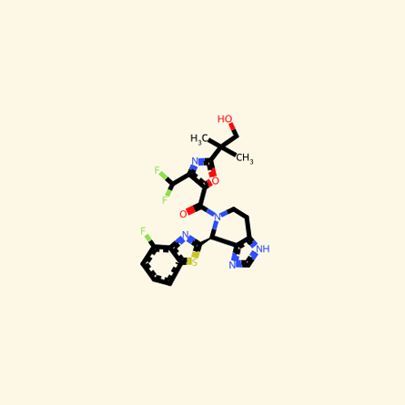 CC(C)(CO)c1nc(C(F)F)c(C(=O)N2CCc3[nH]cnc3[C@H]2c2nc3c(F)cccc3s2)o1